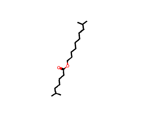 CC(C)CCCCCCCCOC(=O)CCCCC(C)C